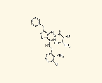 CCC(Nc1nc(NCc2cccc(Cl)c2N)c2ncn(Cc3ccccc3)c2n1)C(C)O